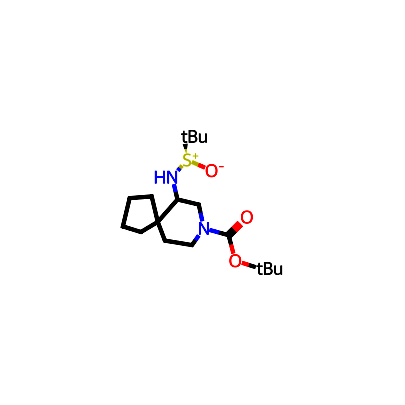 CC(C)(C)OC(=O)N1CCC2(CCCC2)C(N[S@+]([O-])C(C)(C)C)C1